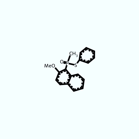 COc1ccc2ccccc2c1P(C)(=O)Sc1ccccc1